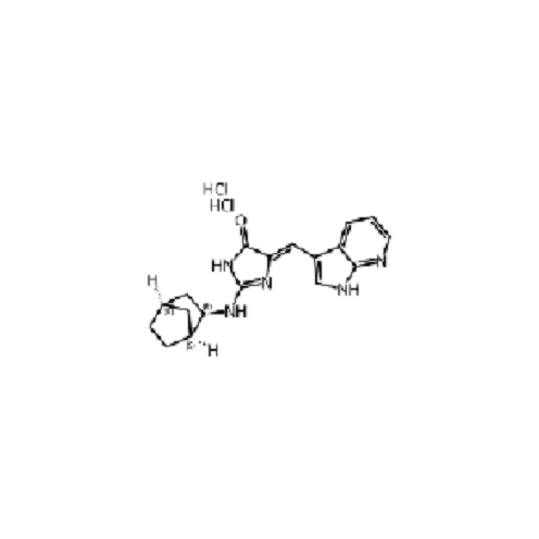 Cl.Cl.O=C1NC(N[C@@H]2C[C@@H]3CC[C@H]2C3)=NC1=Cc1c[nH]c2ncccc12